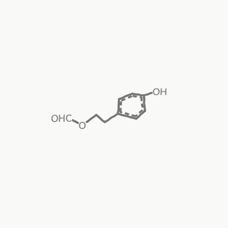 O=COCCc1ccc(O)cc1